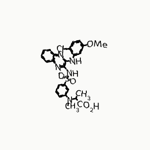 COc1ccc(Cl)c(Nc2nc3ccccc3nc2NS(=O)(=O)c2cccc(N(C)C(C)C(=O)O)c2)c1